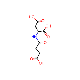 O=C(O)CCC(=O)N[C@@H](CC(=O)O)C(=O)O